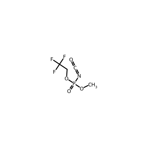 COP(=O)(N=C=O)OCC(F)(F)F